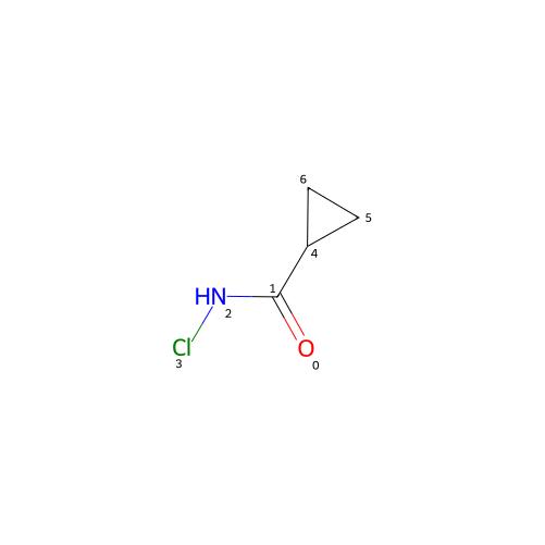 O=C(NCl)C1CC1